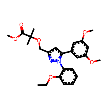 CCOc1ccccc1-n1nc(COC(C)(C)C(=O)OC)cc1-c1cc(OC)cc(OC)c1